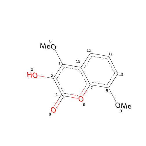 COc1c(O)c(=O)oc2c(OC)cccc12